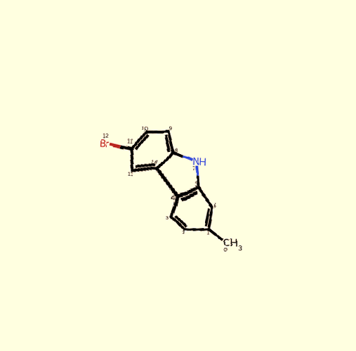 Cc1ccc2c(c1)[nH]c1ccc(Br)cc12